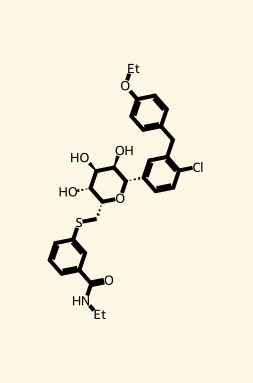 CCNC(=O)c1cccc(SC[C@H]2O[C@@H](c3ccc(Cl)c(Cc4ccc(OCC)cc4)c3)[C@H](O)[C@H](O)[C@H]2O)c1